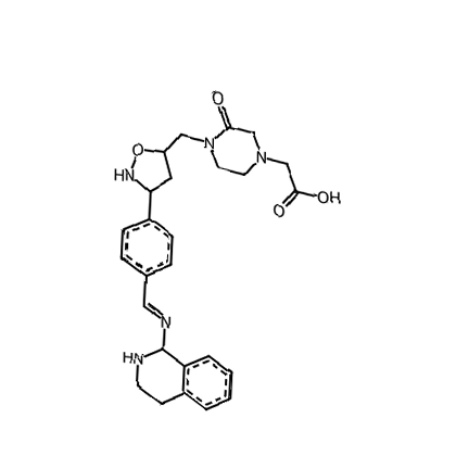 O=C(O)CN1CCN(CC2CC(c3ccc(C=NC4NCCc5ccccc54)cc3)NO2)C(=O)C1